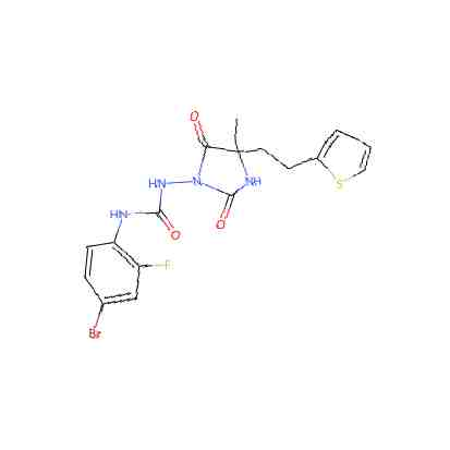 CC1(CCc2cccs2)NC(=O)N(NC(=O)Nc2ccc(Br)cc2F)C1=O